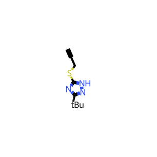 C#CCSc1nc(C(C)(C)C)n[nH]1